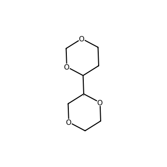 C1CC([C]2COCCO2)OCO1